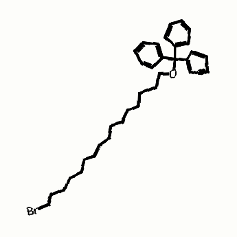 BrCCCCCCCCCCCCCCCCOC(c1ccccc1)(c1ccccc1)c1ccccc1